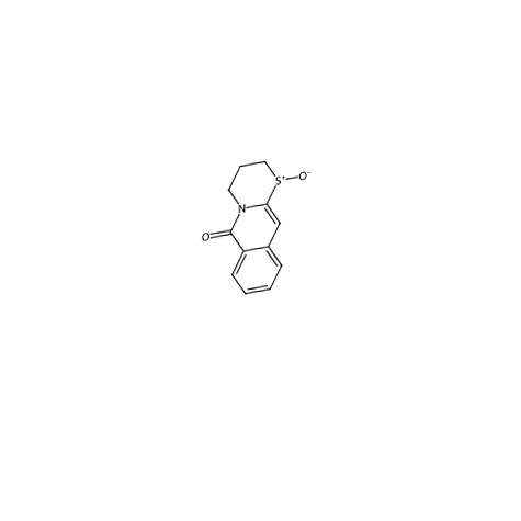 O=c1c2ccccc2cc2n1CCC[S+]2[O-]